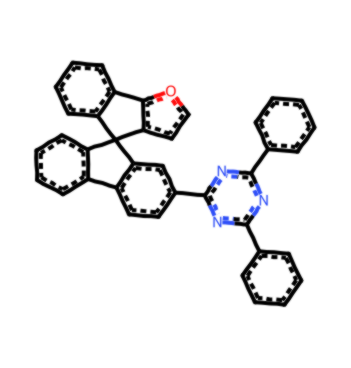 c1ccc(-c2nc(-c3ccccc3)nc(-c3ccc4c(c3)C3(c5ccccc5-4)c4ccccc4-c4occc43)n2)cc1